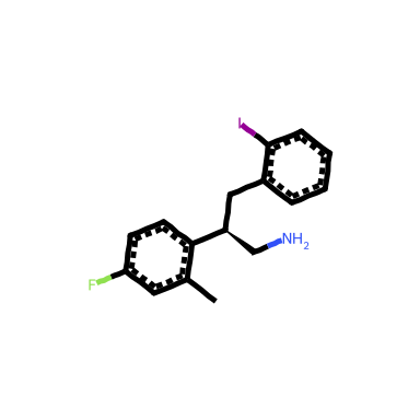 Cc1cc(F)ccc1[C@H](CN)Cc1ccccc1I